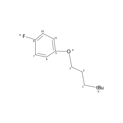 CC(C)(C)CCCOc1ccc(F)cc1